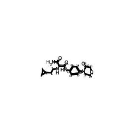 NC(=O)[C@H](NCCC1CC1)C(=O)Nc1ccc(N2CCOCC2=O)cc1